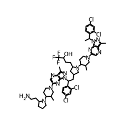 Cc1nn(C(C)c2ccc(Cl)cc2Cl)c2nc(N3CCC(N4CC(CC(c5ccc(Cl)cc5Cl)n5nc(C)c6ncc(N7CCC(N8CCCC8CCN)C(C)C7)nc65)CC4CCC(O)C(F)(F)F)C(C)C3)cnc12